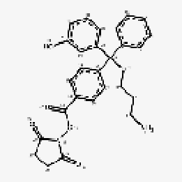 CCCCOC(c1ccccc1)(c1ccc(C(=O)ON2C(=O)CCC2=O)cc1)c1cccc(O)c1